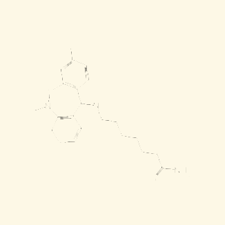 CN1Sc2cc(Cl)ccc2C(NCCCCCCC(N)=O)C2=C1CCC=C2